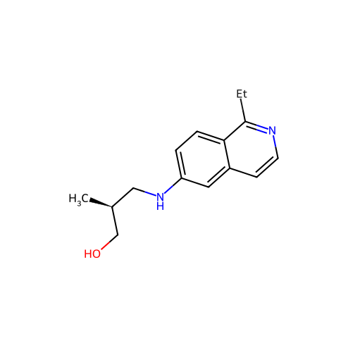 CCc1nccc2cc(NC[C@H](C)CO)ccc12